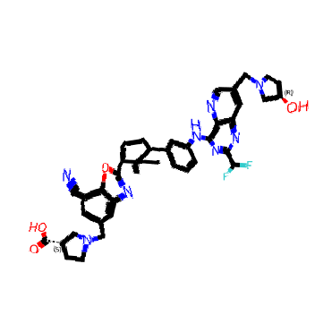 CC1(C)C(c2nc3cc(CN4CC[C@H](C(=O)O)C4)cc(C#N)c3o2)=CC=CC1c1cccc(Nc2nc(C(F)F)nc3cc(CN4CC[C@@H](O)C4)cnc23)c1